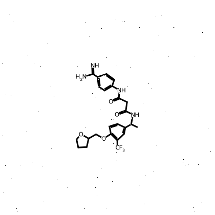 CC(NC(=O)CC(=O)Nc1ccc(C(=N)N)cc1)c1ccc(OCC2CCCO2)c(C(F)(F)F)c1